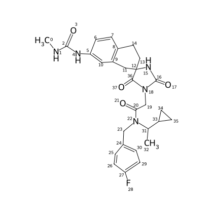 CNC(=O)Nc1ccc2c(c1)CC1(CC2)NC(=O)N(CC(=O)N(Cc2ccc(F)cc2)C(C)C2CC2)C1=O